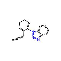 C=C=CC1=CCCC=C1n1nnc2ccccc21